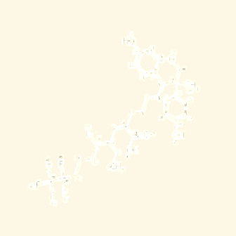 CCC(CC(CCCCC1c2ccc(O)cc2OCC1(C)c1ccc(O)cc1)C(=O)O)[S+]([O-])CCCC(F)(F)C(F)(F)F